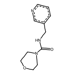 O=C(NCc1cc[c]nc1)N1CCOCC1